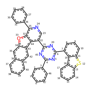 c1ccc(-c2nc(-c3cccc4sc5ccccc5c34)nc(-c3cnc(-c4ccccc4)c4oc5cc6ccccc6cc5c34)n2)cc1